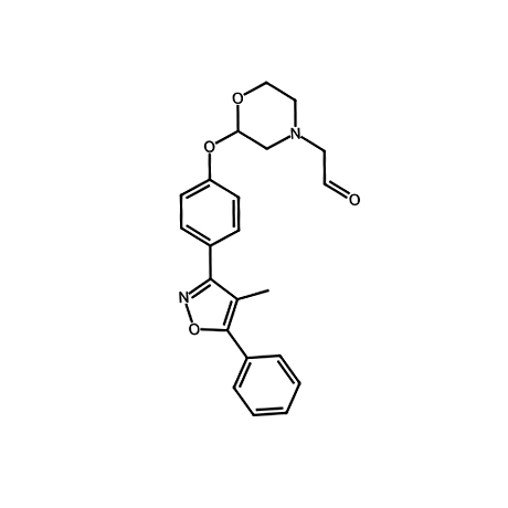 Cc1c(-c2ccc(OC3CN(CC=O)CCO3)cc2)noc1-c1ccccc1